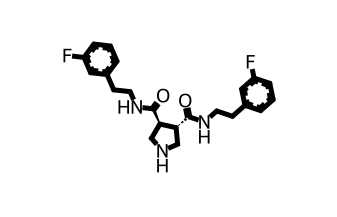 O=C(NCCc1cccc(F)c1)[C@@H]1CNC[C@H]1C(=O)NCCc1cccc(F)c1